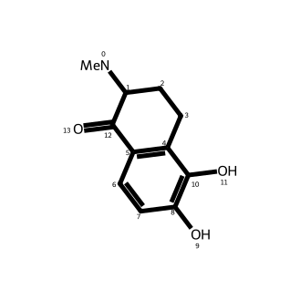 CNC1CCc2c(ccc(O)c2O)C1=O